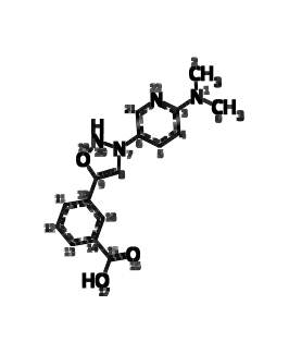 CN(C)c1ccc(N2C=C(c3cccc(C(=O)O)c3)ON2)cn1